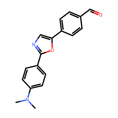 CN(C)c1ccc(-c2ncc(-c3ccc(C=O)cc3)o2)cc1